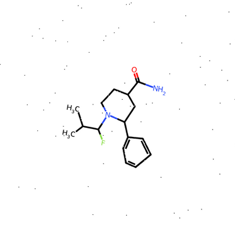 CC(C)C(F)N1CCC(C(N)=O)CC1c1ccccc1